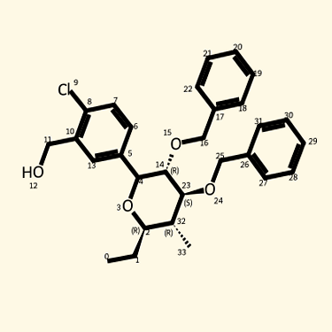 CC[C@H]1OC(c2ccc(Cl)c(CO)c2)[C@H](OCc2ccccc2)[C@@H](OCc2ccccc2)[C@@H]1C